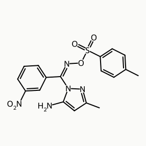 Cc1ccc(S(=O)(=O)ON=C(c2cccc([N+](=O)[O-])c2)n2nc(C)cc2N)cc1